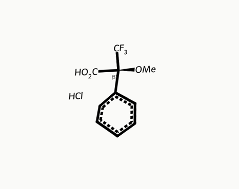 CO[C@](C(=O)O)(c1ccccc1)C(F)(F)F.Cl